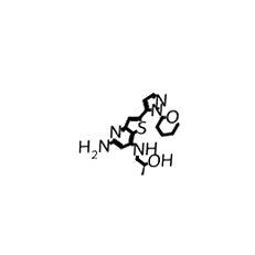 C[C@H](O)CNc1cc(N)nc2cc(-c3ccnn3C3CCCCO3)sc12